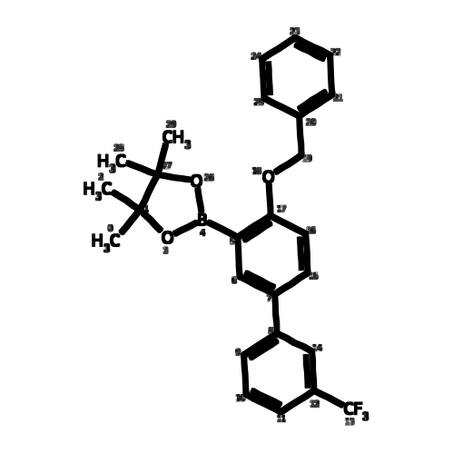 CC1(C)OB(c2cc(-c3cccc(C(F)(F)F)c3)ccc2OCc2ccccc2)OC1(C)C